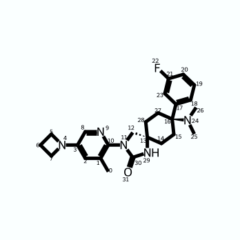 Cc1cc(N2CCC2)cnc1N1C[C@]2(CC[C@](c3cccc(F)c3)(N(C)C)CC2)NC1=O